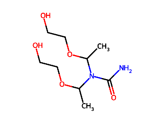 CC(OCCO)N(C(N)=O)C(C)OCCO